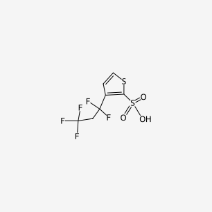 O=S(=O)(O)c1sccc1C(F)(F)CC(F)(F)F